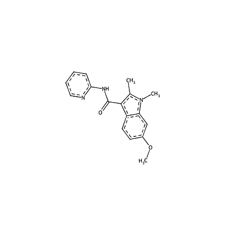 COc1ccc2c(C(=O)Nc3ccccn3)c(C)n(C)c2c1